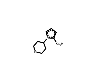 O=C(O)c1cccn1C1CCNCC1